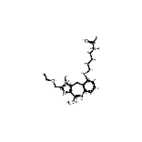 CCOCc1nc2c(n1C)Cc1c(cccc1OCCCCNC(C)=O)N=C2N